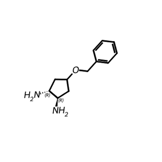 N[C@@H]1CC(OCc2ccccc2)C[C@H]1N